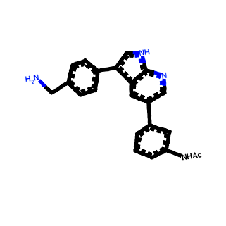 CC(=O)Nc1cccc(-c2cnc3[nH]cc(-c4ccc(CN)cc4)c3c2)c1